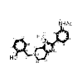 CC(=O)Nc1cccc(-c2nc3c(n2C)CN(Cc2ccccc2O)CC3)c1